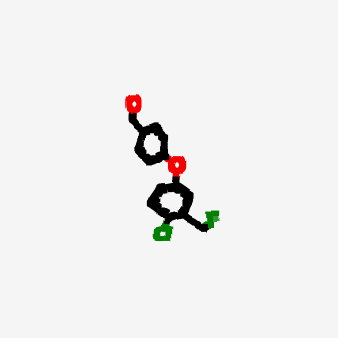 O=Cc1ccc(Oc2ccc(Cl)c(CF)c2)cc1